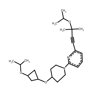 CC(C)OC1CC(OC2CCN(c3cccc(C#CC(C)(C)OC(C)C)n3)CC2)C1